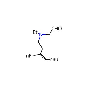 CCCC/C=C(/CCC)CCN(CC)CC=O